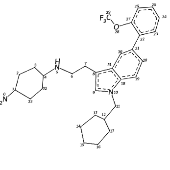 NC1CCC(NCCc2cn(CC3CCCCC3)c3ccc(-c4ccccc4OC(F)(F)F)cc23)CC1